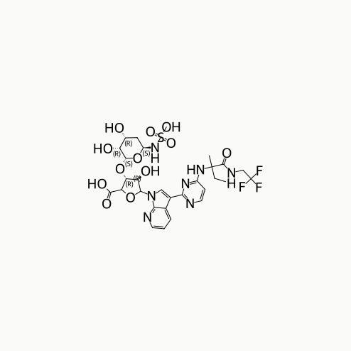 CCC(C)(Nc1ccnc(-c2cn(C3OC(C(=O)O)[C@H](O[C@H]4O[C@H](NS(=O)(=O)O)C[C@@H](O)[C@H]4O)[C@H]3O)c3ncccc23)n1)C(=O)NCC(F)(F)F